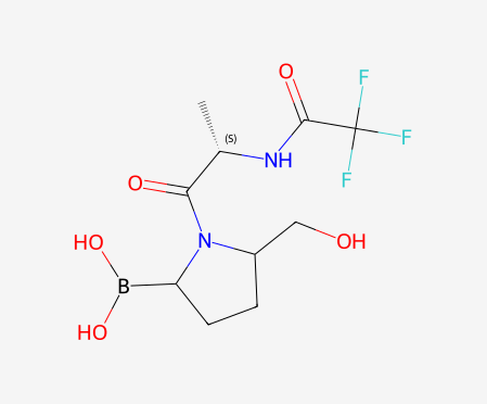 C[C@H](NC(=O)C(F)(F)F)C(=O)N1C(CO)CCC1B(O)O